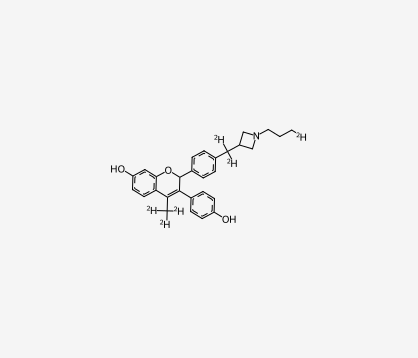 [2H]CCCN1CC(C([2H])([2H])c2ccc(C3Oc4cc(O)ccc4C(C([2H])([2H])[2H])=C3c3ccc(O)cc3)cc2)C1